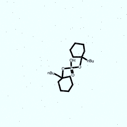 CCCCC1(OP(=O)(O)OC2(CCCC)CCCCC2)CCCCC1